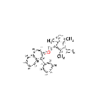 CC1=C(C)C(C)(C)[C]([Ti][O]c2ccc3ccccc3c2-c2ccccc2)=C1C